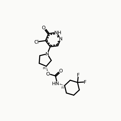 O=C(N[C@H]1CCCC(F)(F)C1)O[C@@H]1CCN(c2cn[nH]c(=O)c2Cl)C1